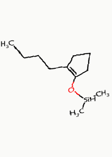 CCCCC1=C(O[SiH](C)C)CCC1